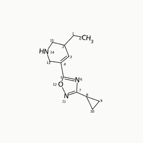 CCC1C=C(c2nc(C3CC3)no2)CNC1